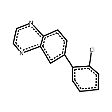 Clc1ccccc1-c1ccc2nccnc2c1